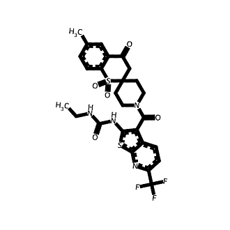 CCNC(=O)Nc1sc2nc(C(F)(F)F)ccc2c1C(=O)N1CCC2(CC1)CC(=O)c1cc(C)ccc1S2(=O)=O